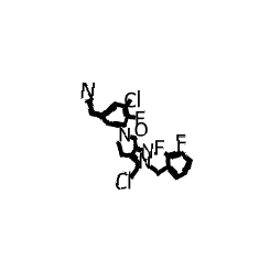 N#CCc1cc(Cl)c(F)c(N2CCc3c(nn(Cc4cccc(F)c4F)c3Cl)C2=O)c1